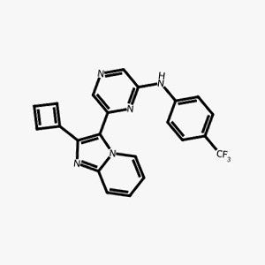 FC(F)(F)c1ccc(Nc2cncc(-c3c(C4=CC=C4)nc4ccccn34)n2)cc1